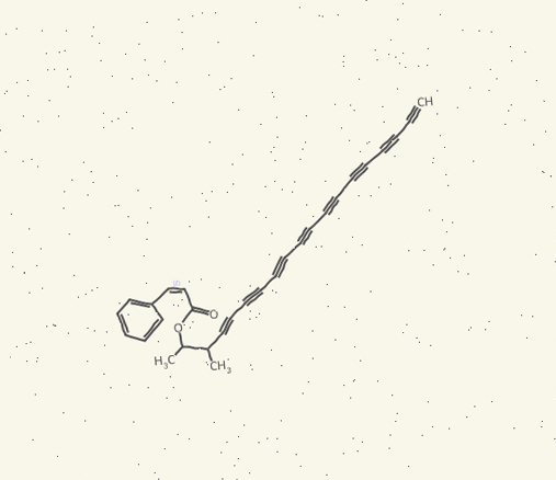 C#CC#CC#CC#CC#CC#CC#CC#CC(C)C(C)OC(=O)/C=C\c1ccccc1